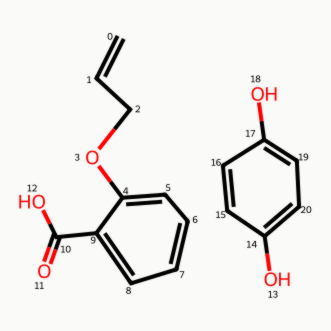 C=CCOc1ccccc1C(=O)O.Oc1ccc(O)cc1